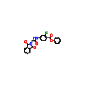 O=C(CN1C(=O)c2ccccc2C1=O)Nc1ccc(C(=O)Oc2ccccc2)c(Cl)c1